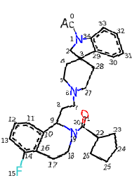 CC(=O)N1CC2(CCN(CCC3c4cccc(F)c4CCN3C(=O)C3CCCC3)CC2)c2ccccc21